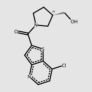 O=C(c1cc2nccc(Cl)c2s1)N1CC[C@H](CO)C1